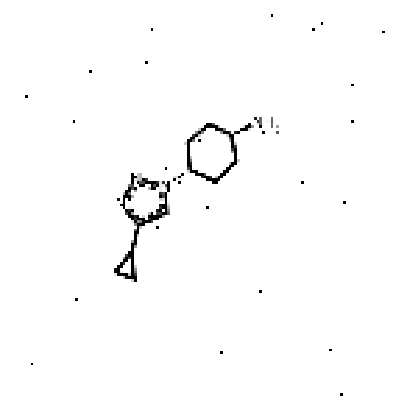 N[C@H]1CC[C@H](n2cc(C3CC3)nn2)CC1